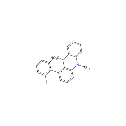 CN1c2ccccc2C(C(=O)O)c2c(-c3c(F)cccc3F)cccc21